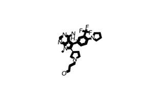 Cn1c([C@H]2CCN(C=CC=O)C2)c(-c2ccc(N3CCCC3)c(C(F)(F)F)c2)c2c(N)ncnc21